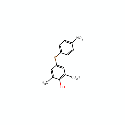 Cc1cc(Sc2ccc([N+](=O)[O-])cc2)cc(C(=O)O)c1O